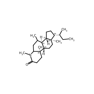 CCC(C)[C@H]1CC[C@H]2[C@@H]3C(C)CC4N(C)C(=O)CC[C@]4(C)[C@H]3CC[C@]12C